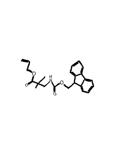 C=CCOC(=O)C(C)(C)CNC(=O)OCC1c2ccccc2-c2ccccc21